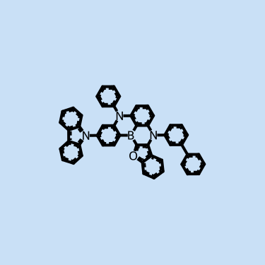 c1ccc(-c2cccc(N3c4cccc5c4B(c4ccc(-n6c7ccccc7c7ccccc76)cc4N5c4ccccc4)c4oc5ccccc5c43)c2)cc1